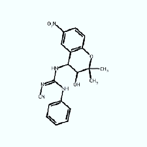 CC1(C)Oc2ccc([N+](=O)[O-])cc2C(NC(=NC#N)Nc2ccccc2)C1O